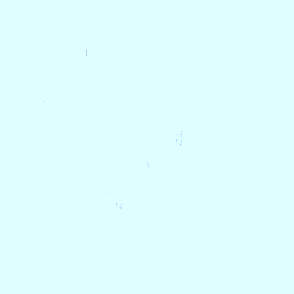 C=Cc1ccc(OCCCCc2ccc(-c3ccc4c(c3)c3cc(-c5ccc(Nc6ccc(-c7ccccc7)cc6)cc5)ccc3n4-c3ccccc3)cc2)cc1